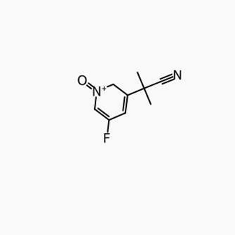 CC(C)(C#N)C1=CC(F)=C[N+](=O)C1